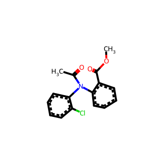 COC(=O)c1ccccc1N(C(C)=O)c1ccccc1Cl